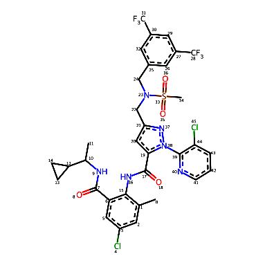 Cc1cc(Cl)cc(C(=O)NC(C)C2CC2)c1NC(=O)c1cc(CN(Cc2cc(C(F)(F)F)cc(C(F)(F)F)c2)S(C)(=O)=O)nn1-c1ncccc1Cl